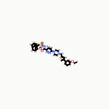 CCOc1cccc(-c2csc(CN3CCN(c4ccc(C(=O)NS(=O)(=O)CC56CC7CC(CC(C7)C5)C6)nn4)CC3)c2)c1